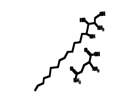 CCCCCCCCCCCCCCC(O)C(O)C(N)CO.NC(=O)CCC(N)C(=O)O